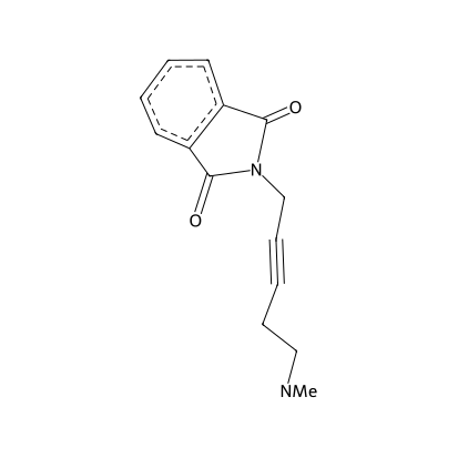 CNCCC#CCN1C(=O)c2ccccc2C1=O